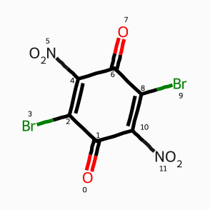 O=C1C(Br)=C([N+](=O)[O-])C(=O)C(Br)=C1[N+](=O)[O-]